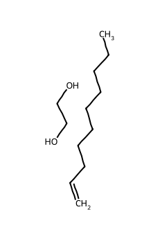 C=CCCCCCCCC.OCCO